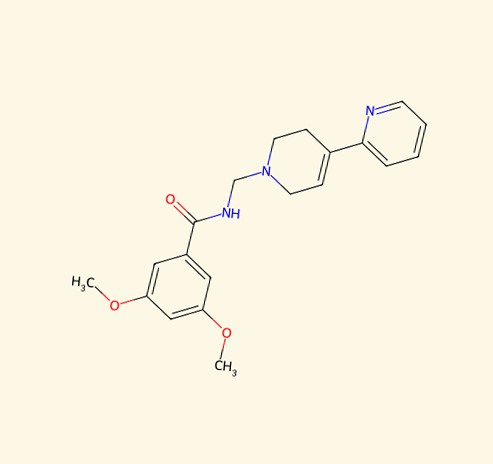 COc1cc(OC)cc(C(=O)NCN2CC=C(c3ccccn3)CC2)c1